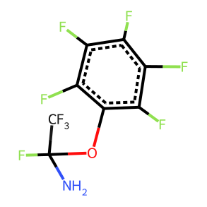 NC(F)(Oc1c(F)c(F)c(F)c(F)c1F)C(F)(F)F